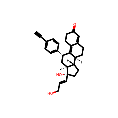 C#Cc1ccc([C@H]2C[C@@]3(C)[C@@H](CC[C@@]3(O)C=CCO)[C@@H]3CCC4=CC(=O)CCC4=C32)cc1